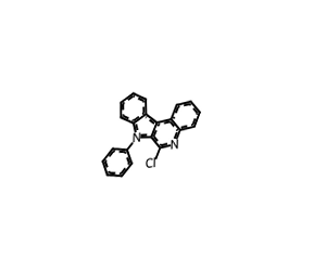 Clc1nc2ccccc2c2c3ccccc3n(-c3ccccc3)c12